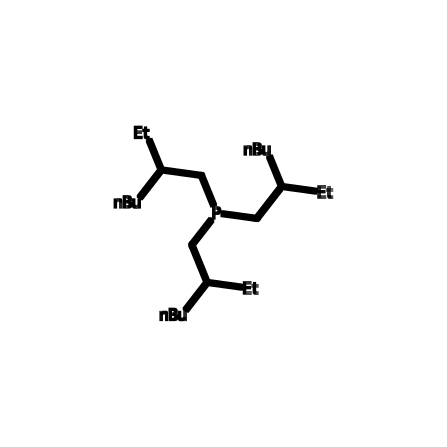 CCCCC(CC)CP(CC(CC)CCCC)CC(CC)CCCC